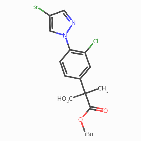 CCC(C)OC(=O)C(C)(C(=O)O)c1ccc(-n2cc(Br)cn2)c(Cl)c1